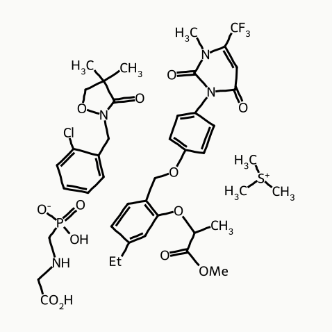 CC1(C)CON(Cc2ccccc2Cl)C1=O.CCc1ccc(COc2ccc(-n3c(=O)cc(C(F)(F)F)n(C)c3=O)cc2)c(OC(C)C(=O)OC)c1.C[S+](C)C.O=C(O)CNCP(=O)([O-])O